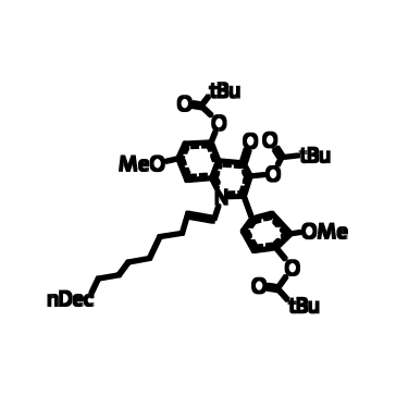 CCCCCCCCCCCCCCCCC=Cn1c(-c2ccc(OC(=O)C(C)(C)C)c(OC)c2)c(OC(=O)C(C)(C)C)c(=O)c2c(OC(=O)C(C)(C)C)cc(OC)cc21